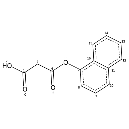 O=C(O)CC(=O)Oc1cccc2ccccc12